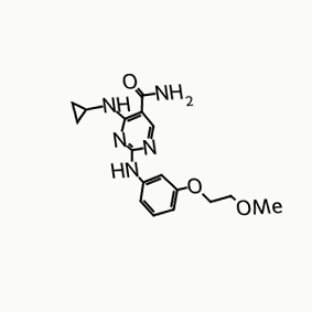 COCCOc1cccc(Nc2ncc(C(N)=O)c(NC3CC3)n2)c1